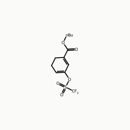 CCCCOC(=O)C1=CC(OS(=O)(=O)C(F)(F)F)=CC[CH]1